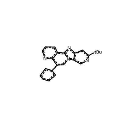 CC(C)(C)c1cc2nc3c4cccnc4c(-c4ccccc4)cn3c2cn1